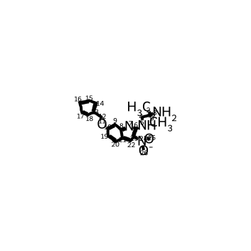 CC(C)(N)CNc1nc2cc(OCc3ccccc3)ccc2cc1[N+](=O)[O-]